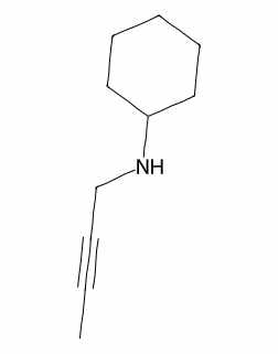 CC#CCNC1CCCCC1